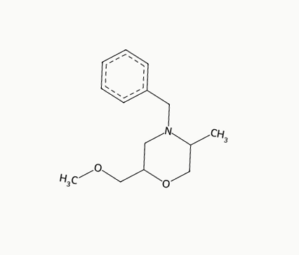 COCC1CN(Cc2ccccc2)C(C)CO1